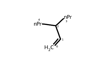 C=CC(CCC)CCC